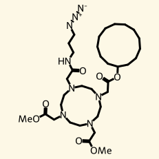 COC(=O)CN1CCN(CC(=O)NCCCN=[N+]=[N-])CCN(CC(=O)OC2CCCCCCCCCCCC2)CCN(CC(=O)OC)CC1